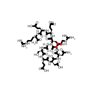 CC(=O)N[C@H](CO)C(=O)N[C@H](CCC(=O)O)C(=O)N[C@H](CC(=O)O)C(=O)N[C@H](CC(N)=O)C(=O)N[C@H](CCCNC(=N)N)C(=O)N[C@H](CC(=O)O)C(=O)N[C@H](CCC(=O)O)C(=O)N[C@H](CCC(=O)O)C(=O)N[C@H](CCCNC(=N)N)C(N)=O